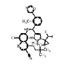 Cc1c(-c2cnco2)cccc1[C@H](Nc1cc(Cl)c2ncc(C#N)c(NCC(C)(C)C)c2c1)C1=CN(C2(C(F)F)CC2)NN1